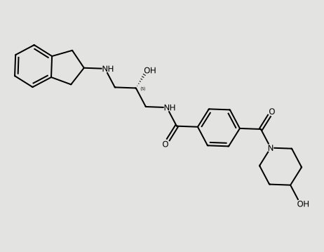 O=C(NC[C@@H](O)CNC1Cc2ccccc2C1)c1ccc(C(=O)N2CCC(O)CC2)cc1